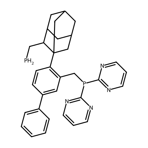 PCC1C2CC3CC(C2)CC1(c1ccc(-c2ccccc2)cc1CP(c1ncccn1)c1ncccn1)C3